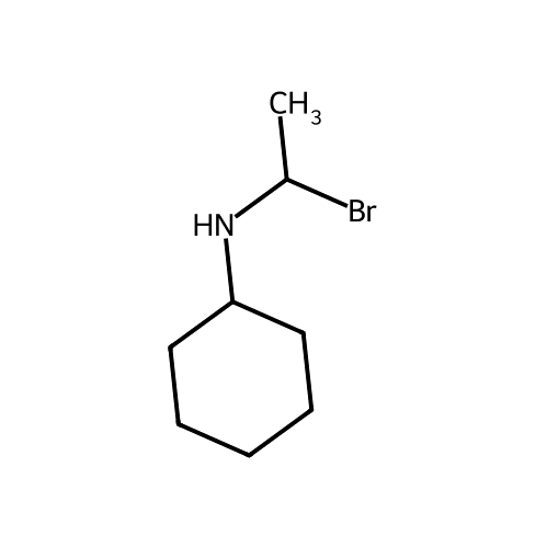 CC(Br)NC1CCCCC1